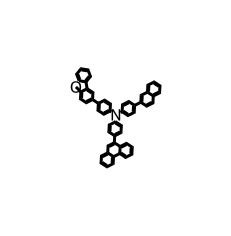 c1ccc2cc(-c3ccc(N(c4ccc(-c5ccc6oc7ccccc7c6c5)cc4)c4ccc(-c5cc6ccccc6c6ccccc56)cc4)cc3)ccc2c1